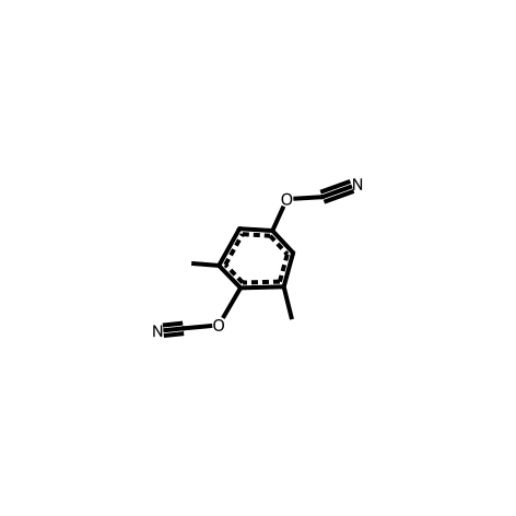 Cc1cc(OC#N)cc(C)c1OC#N